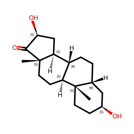 C[C@]12CC[C@H](O)C[C@H]1CC[C@@H]1[C@@H]2CC[C@]2(C)C(=O)[C@@H](O)C[C@@H]12